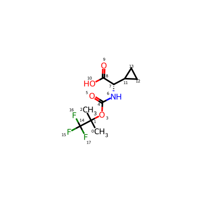 CC(C)(OC(=O)N[C@H](C(=O)O)C1CC1)C(F)(F)F